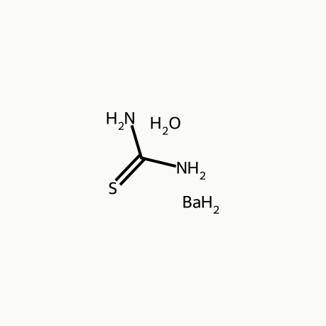 NC(N)=S.O.[BaH2]